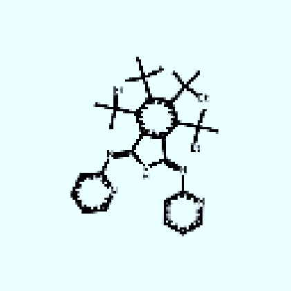 CCC(C)(C)c1c2c(c(C(C)(C)CC)c(C(C)(C)CC)c1C(C)(C)CC)C(=Nc1ccccn1)NC2=Nc1ccccn1